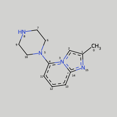 Cc1cn2c(N3CCNCC3)cccc2n1